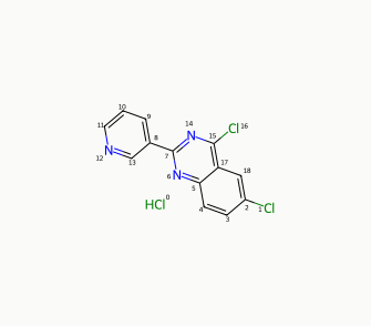 Cl.Clc1ccc2nc(-c3cccnc3)nc(Cl)c2c1